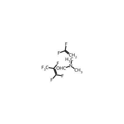 C=C(F)F.CN(C)C=O.FC(F)=C(F)C(F)(F)F